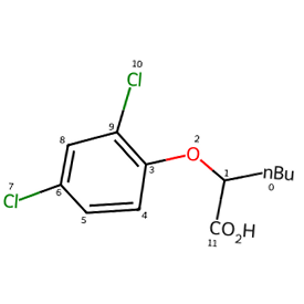 CCCCC(Oc1ccc(Cl)cc1Cl)C(=O)O